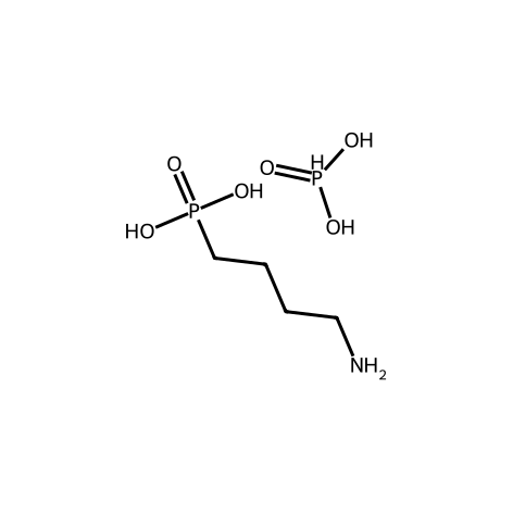 NCCCCP(=O)(O)O.O=[PH](O)O